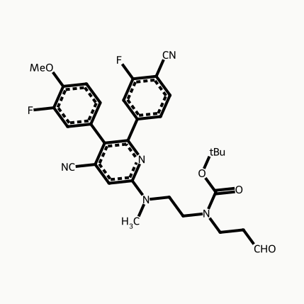 COc1ccc(-c2c(C#N)cc(N(C)CCN(CCC=O)C(=O)OC(C)(C)C)nc2-c2ccc(C#N)c(F)c2)cc1F